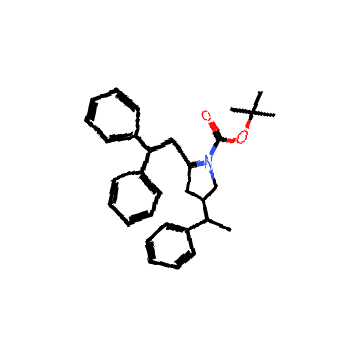 CC(c1ccccc1)C1CC(CC(c2ccccc2)c2ccccc2)N(C(=O)OC(C)(C)C)C1